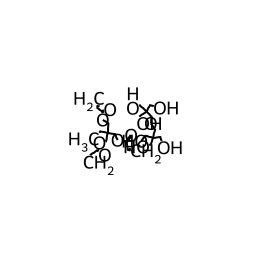 C=CC(=O)OCC(CC)(COC(=O)C=C)COC(=O)C=C.OCC(CO)(CO)COCC(CO)(CO)CO